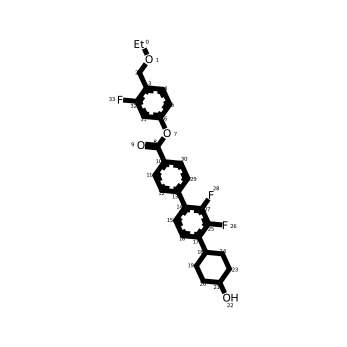 CCOCc1ccc(OC(=O)c2ccc(-c3ccc(C4CCC(O)CC4)c(F)c3F)cc2)cc1F